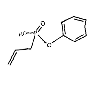 C=CCP(=O)(O)Oc1ccccc1